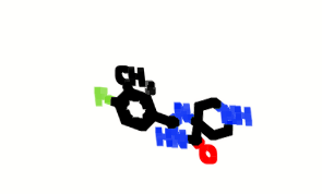 Cc1cc(C2=NC3(CCNCC3)C(=O)N2)ccc1F